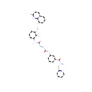 Cc1ccc2cccc(OCc3c(Cl)ccc(N(C)C(=O)CNC(=O)Nc4cccc(C(=O)N(C)Cc5ccccn5)c4)c3Cl)c2n1